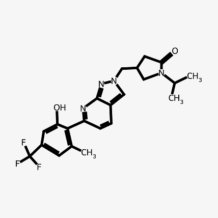 Cc1cc(C(F)(F)F)cc(O)c1-c1ccc2cn(CC3CC(=O)N(C(C)C)C3)nc2n1